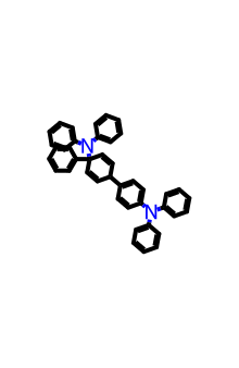 C1=CC(c2ccccc2)(N(c2ccccc2)c2ccccc2)C=CC1c1ccc(N(c2ccccc2)c2ccccc2)cc1